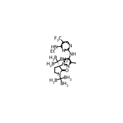 BC(B)(B)N1CC[C@](n2cc(Nc3ncc(C(F)(F)F)c(NCC)n3)c(C)n2)(C(B)(B)B)C1=O